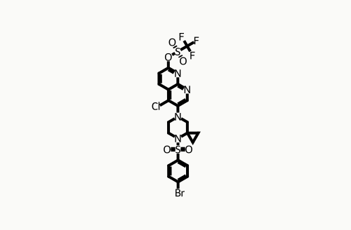 O=S(=O)(c1ccc(Br)cc1)N1CCN(c2cnc3nc(OS(=O)(=O)C(F)(F)F)ccc3c2Cl)CC12CC2